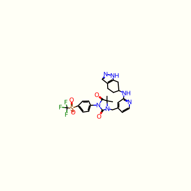 CC1(C)C(=O)N(c2ccc(S(=O)(=O)C(F)(F)F)cc2)C(=O)N1Cc1ccnc(NC2CCc3cn[nH]c3C2)c1